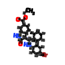 CCOC(=O)c1ccc2c(c1)NC(=O)/C2=C(\Nc1ccc(Br)cc1)c1ccccc1